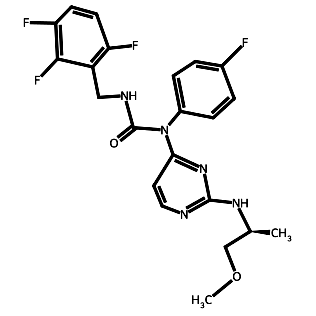 COC[C@H](C)Nc1nccc(N(C(=O)NCc2c(F)ccc(F)c2F)c2ccc(F)cc2)n1